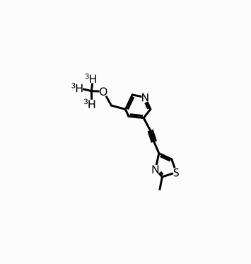 [3H]C([3H])([3H])OCc1cncc(C#Cc2csc(C)n2)c1